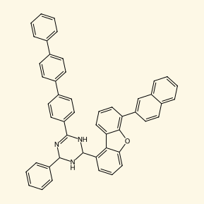 c1ccc(-c2ccc(-c3ccc(C4=NC(c5ccccc5)NC(c5cccc6oc7c(-c8ccc9ccccc9c8)cccc7c56)N4)cc3)cc2)cc1